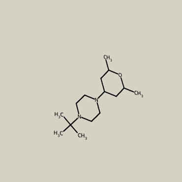 CC1CC(N2CCN(C(C)(C)C)CC2)CC(C)O1